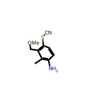 COCc1c(SC#N)ccc(N)c1C